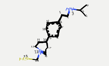 CC(C)NCCc1ccc(C2CCN(CS)CC2)cc1